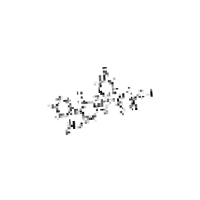 CC1=C(CC(=O)O)c2cc(F)ccc2/C1=C\c1cc(C)cc(CN(C)c2ccccc2)c1